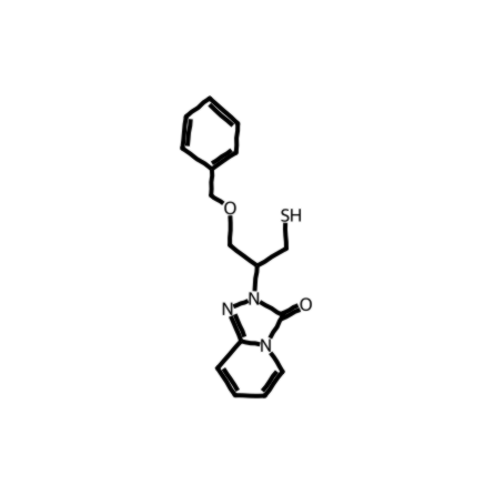 O=c1n(C(CS)COCc2ccccc2)nc2ccccn12